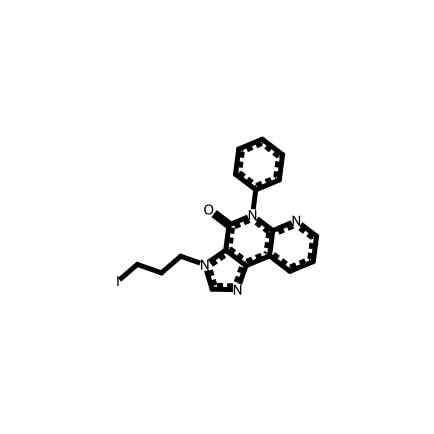 O=c1c2c(ncn2CCCI)c2cccnc2n1-c1ccccc1